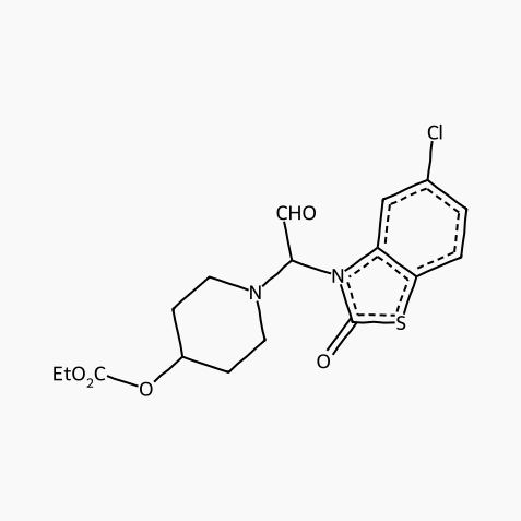 CCOC(=O)OC1CCN(C(C=O)n2c(=O)sc3ccc(Cl)cc32)CC1